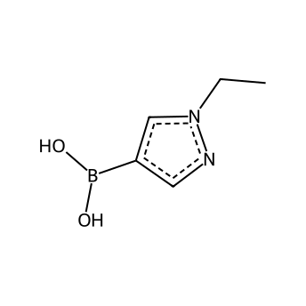 CCn1cc(B(O)O)cn1